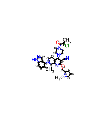 C=C(Cl)C(=O)N1CCN(c2c(C#N)c(OCC3CCCN3C)nc3c2CCN(c2c(C)ccc4[nH]ncc24)C3)CC1